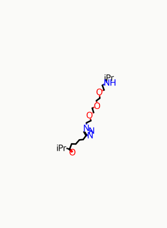 CC(C)NCCOCCOCCOCCn1cc(CCCCC(=O)C(C)C)nn1